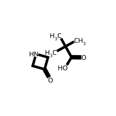 CC(C)(C)C(=O)O.O=C1CNC1